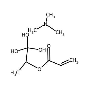 C=CC(=O)OC(C)C(O)(O)O.CN(C)C